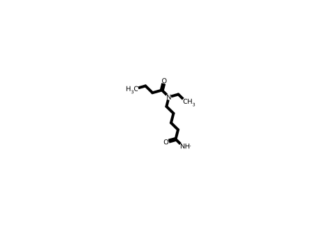 CCCC(=O)N(CC)CCCCC([NH])=O